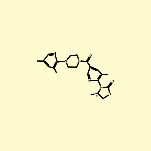 Cc1cnc(N2CCN(C(=O)c3cnc(N4C(=O)OC[C@H]4C)c(C)c3)CC2)c(C)c1